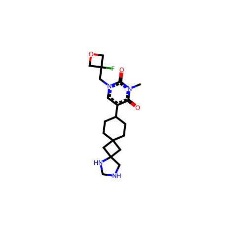 Cn1c(=O)c(C2CCC3(CC2)CC2(CNCN2)C3)cn(CC2(F)COC2)c1=O